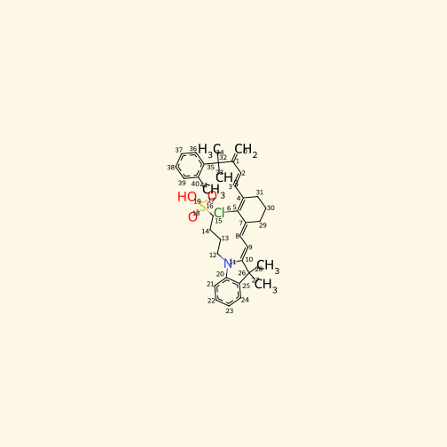 C=C(/C=C/C1=C(Cl)C(=C/C=C2\N(CCCCS(=O)(=O)O)c3ccccc3C2(C)C)/CCC1)C(C)(C)c1ccccc1C